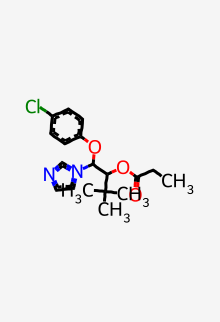 CCC(=O)OC(C(Oc1ccc(Cl)cc1)n1ccnc1)C(C)(C)C